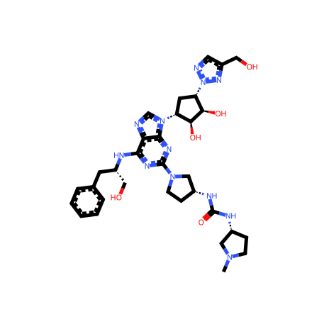 CN1CC[C@@H](NC(=O)N[C@@H]2CCN(c3nc(N[C@H](CO)Cc4ccccc4)c4ncn([C@@H]5C[C@H](n6ncc(CO)n6)[C@@H](O)[C@H]5O)c4n3)C2)C1